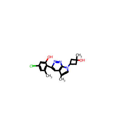 Cc1cc(Cl)cc(O)c1-c1cc2c(C)cn(C3CC(C)(O)C3)c2nn1